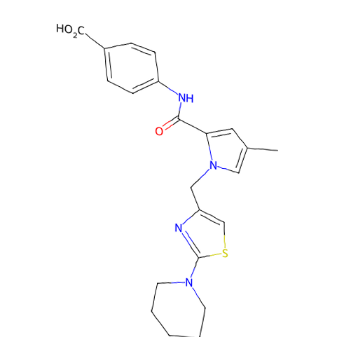 Cc1cc(C(=O)Nc2ccc(C(=O)O)cc2)n(Cc2csc(N3CCCCC3)n2)c1